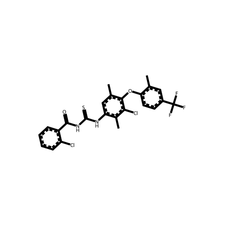 Cc1cc(C(F)(F)F)ccc1Oc1c(C)cc(NC(=S)NC(=O)c2ccccc2Cl)c(C)c1Cl